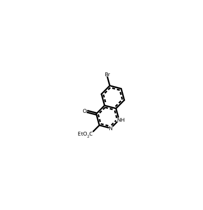 CCOC(=O)c1n[nH]c2ccc(Br)cc2c1=O